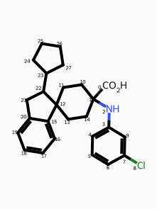 O=C(O)C1(Nc2cccc(Cl)c2)CCC2(CC1)c1ccccc1CC2C1CCCC1